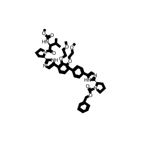 COCCOc1c(-c2ccc(-c3cnc([C@@H]4CCCN4C(=O)OCc4ccccc4)[nH]3)cc2)ccc(-c2cnc([C@@H]3CCCN3C(=O)[C@@H](NC(=O)OC)C(C)C)[nH]2)c1OCCOC